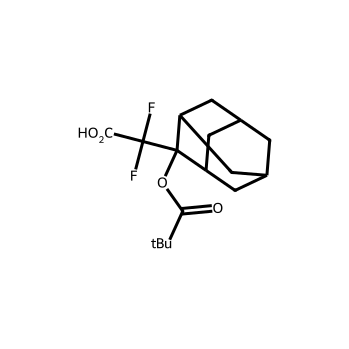 CC(C)(C)C(=O)OC1(C(F)(F)C(=O)O)C2CC3CC(C2)CC1C3